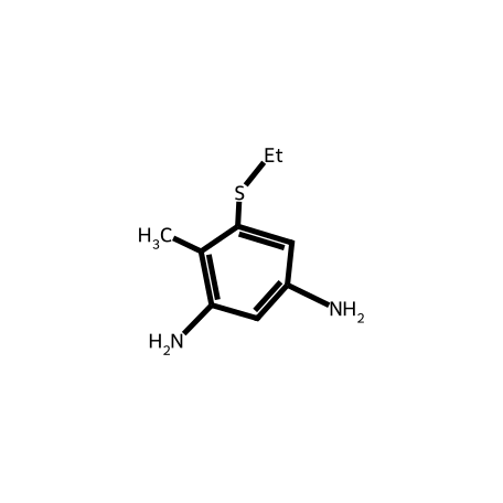 CCSc1cc(N)cc(N)c1C